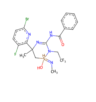 CN=[SH]1(O)CC(C)(c2nc(Br)ccc2F)N=C(NC(=O)c2ccccc2)N1CC(F)(F)F